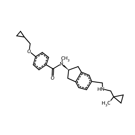 CN(C(=O)c1ccc(OCC2CC2)cc1)[C@@H]1Cc2ccc(CNCC3(C)CC3)cc2C1